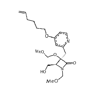 C=CCCCCOc1ccnc(C[C@]2(OCOC)C(=O)N(COC)[C@H]2CO)c1